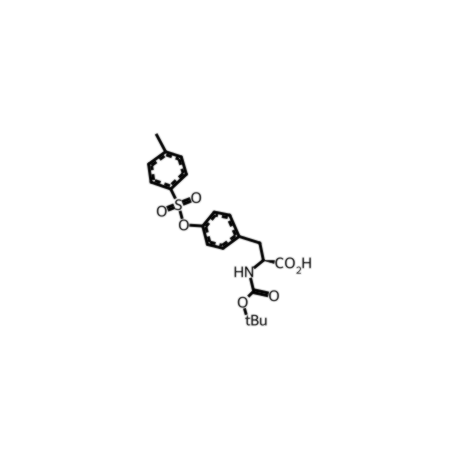 Cc1ccc(S(=O)(=O)Oc2ccc(C[C@H](NC(=O)OC(C)(C)C)C(=O)O)cc2)cc1